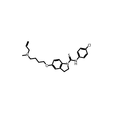 C=CCN(C)CCCCOc1ccc2c(c1)CCN2C(=S)Nc1ccc(Cl)cc1